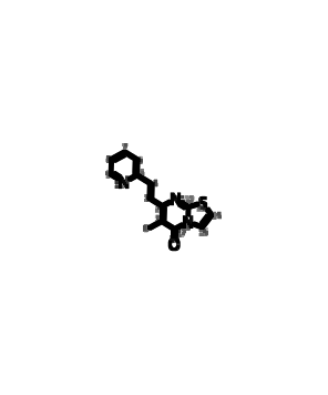 Cc1c(/C=C/c2ccccn2)nc2sccn2c1=O